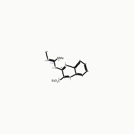 CCOC(=O)c1nc2ccccc2nc1S/C(=N/C)NC